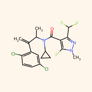 C=C(c1cc(Cl)ccc1Cl)C(C)N(C(=O)c1c(C(F)F)nn(C)c1F)C1CC1